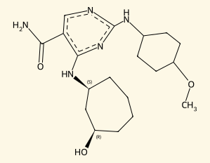 COC1CCC(Nc2ncc(C(N)=O)c(N[C@H]3CCCC[C@@H](O)C3)n2)CC1